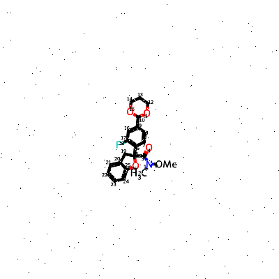 CON(C)C(=O)C1(c2ccc(C3OCCCO3)cc2F)Cc2ccccc2O1